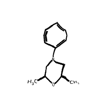 CC1CN(c2cc[c]cc2)CC(C)O1